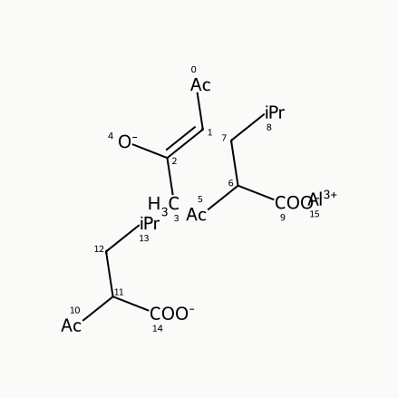 CC(=O)/C=C(/C)[O-].CC(=O)C(CC(C)C)C(=O)[O-].CC(=O)C(CC(C)C)C(=O)[O-].[Al+3]